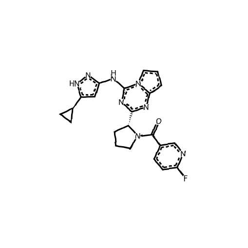 O=C(c1ccc(F)nc1)N1CCC[C@@H]1c1nc(Nc2cc(C3CC3)[nH]n2)n2cccc2n1